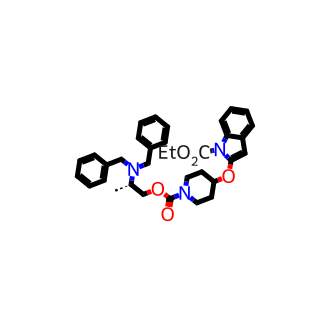 CCOC(=O)n1c(OC2CCN(C(=O)OC[C@H](C)N(Cc3ccccc3)Cc3ccccc3)CC2)cc2ccccc21